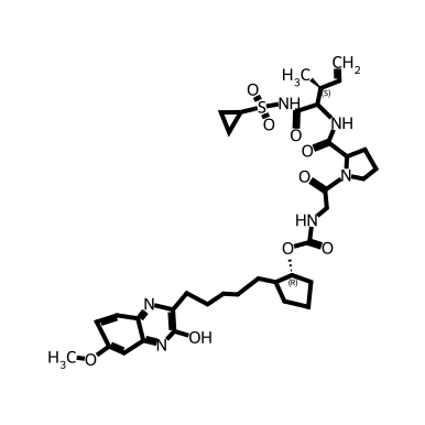 C=C[C@H](C)C(NC(=O)C1CCCN1C(=O)CNC(=O)O[C@@H]1CCCC1CCCCCc1nc2ccc(OC)cc2nc1O)C(=O)NS(=O)(=O)C1CC1